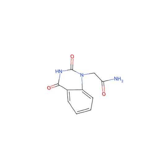 NC(=O)Cn1c(=O)[nH]c(=O)c2ccccc21